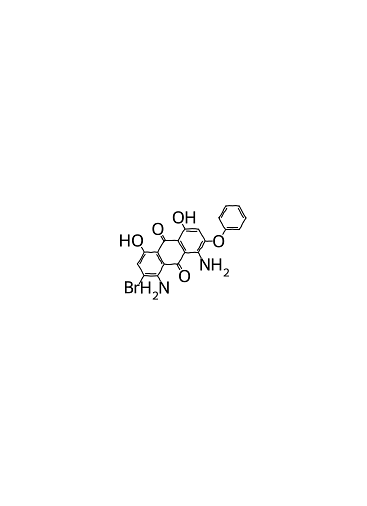 Nc1c(Br)cc(O)c2c1C(=O)c1c(N)c(Oc3ccccc3)cc(O)c1C2=O